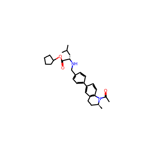 CC(=O)N1c2ccc(-c3ccc(CN[C@@H](CC(C)C)C(=O)OC4CCCC4)cc3)cc2CC[C@@H]1C